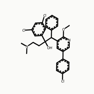 COc1ncc(-c2ccc(Cl)cc2)cc1C(c1ccccc1)C(O)(CCN(C)C)c1cc(Cl)cc(Cl)c1